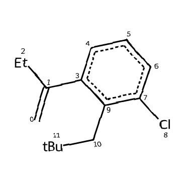 C=C(CC)c1cccc(Cl)c1CC(C)(C)C